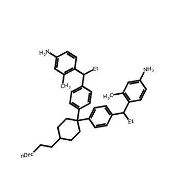 CCCCCCCCCCCCC1CCC(c2ccc(C(CC)c3ccc(N)cc3C)cc2)(c2ccc(C(CC)c3ccc(N)cc3C)cc2)CC1